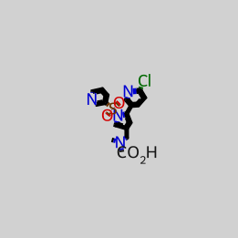 CN(Cc1cc(-c2ccc(Cl)nc2)n(S(=O)(=O)c2cccnc2)c1)C(=O)O